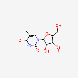 COC1C(CO)OC(n2cc(C)c(=O)[nH]c2=O)C1O